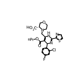 CCCOC(=O)C1=C(CN2CCOC[C@H]2C(=O)O)NC(c2nccs2)=NC1c1ccc(F)cc1Cl